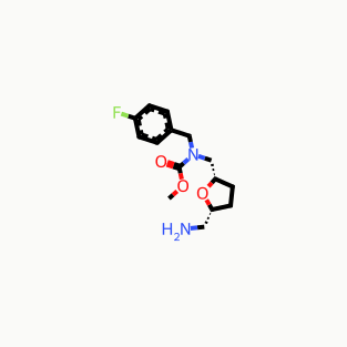 COC(=O)N(Cc1ccc(F)cc1)C[C@@H]1CC[C@H](CN)O1